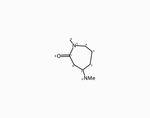 CNC1CCCN(C)C(=O)C1